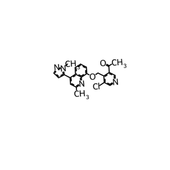 CC(=O)c1cncc(Cl)c1COc1cccc2c(-c3ccnn3C)cc(C)nc12